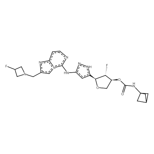 O=C(NC12CC(C1)C2)O[C@H]1CO[C@@H](c2cc(Nc3nccc4nc(CN5CC(F)C5)cn34)n[nH]2)[C@@H]1F